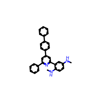 CNc1ccc(NC)c(-c2cc(-c3ccc(-c4ccccc4)cc3)cc(-c3ccccc3)n2)c1